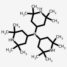 CC1(C)CC(N(C2CC(C)(C)NC(C)(C)C2)C2CC(C)(C)NC(C)(C)C2)CC(C)(C)N1